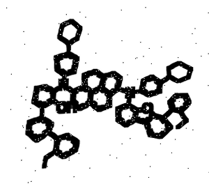 CCc1ccccc1-c1cccc(-c2cccc(N(c3ccc(C4CCCCC4)cc3)c3ccc4ccc5c(N(c6ccc(C7CCCCC7)cc6)c6cccc7c6oc6c(-c8ccccc8CC)cccc67)ccc6ccc3c4c65)c2O)c1